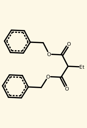 [CH]CC(C(=O)OCc1ccccc1)C(=O)OCc1ccccc1